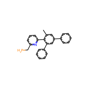 Cc1cc(-c2ccccc2)cc(-c2ccccc2)c1-c1cccc(CP)n1